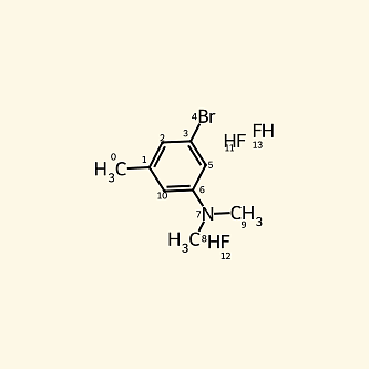 Cc1cc(Br)cc(N(C)C)c1.F.F.F